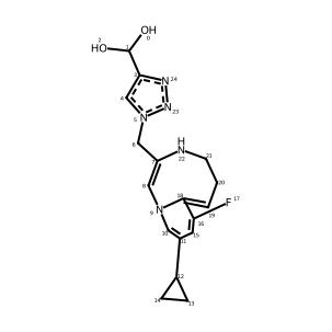 OC(O)c1cn(C/C2=C/N3C=C(C4CC4)C=C(F)/C3=C\CCN2)nn1